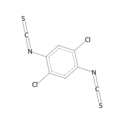 S=C=Nc1cc(Cl)c(N=C=S)cc1Cl